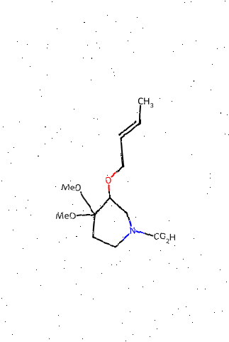 CC=CCOC1CN(C(=O)O)CCC1(OC)OC